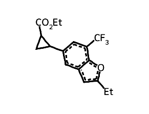 CCOC(=O)C1CC1c1cc(C(F)(F)F)c2oc(CC)cc2c1